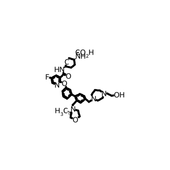 C[C@H]1COCCN1Cc1cc(CN2CCCN(CCO)CC2)ccc1-c1cccc(Oc2ncc(F)cc2C(=O)N[C@H]2CC[C@H](NC(=O)O)CC2)c1